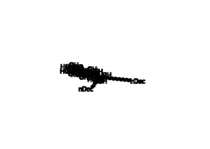 CCCCCCCCCCCCCCCCCCCCCCCCC(O)C(=O)NC(COP(=O)(O)OC1C(O)C(O)C(OC2OC(CO)C(OP(=O)(O)OC3C(O)C(O)C(O)C(O)C3O)C(O)C2O)C(O)C1O)C(O)C(O)CCCCCCCCCCCCCC